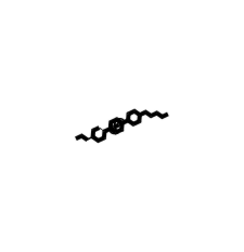 CCCCCC1CCC(C23CCC([C@H]4CC[C@H](CCC)CC4)(CC2)CC3)CC1